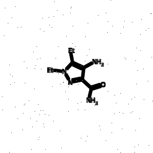 [CH2]Cn1nc(C(N)=O)c(N)c1CC